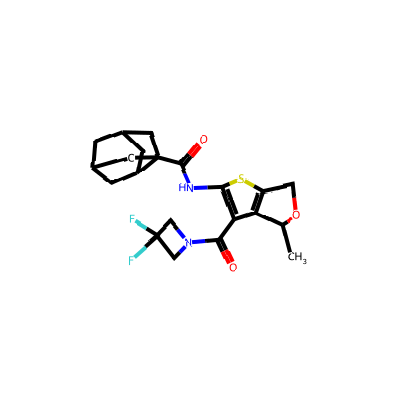 CC1OCc2sc(NC(=O)C34CC5CC(CC3C5)C4)c(C(=O)N3CC(F)(F)C3)c21